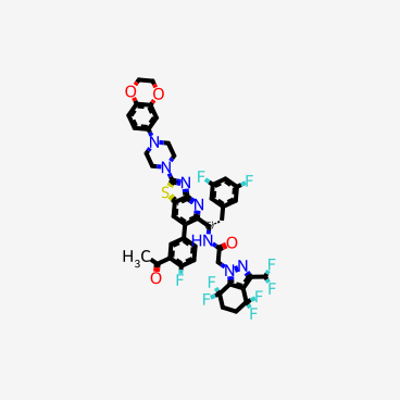 CC(=O)c1cc(-c2cc3sc(N4CCN(c5ccc6c(c5)OCCO6)CC4)nc3nc2[C@H](Cc2cc(F)cc(F)c2)NC(=O)Cn2nc(C(F)F)c3c2C(F)(F)CCC3(F)F)ccc1F